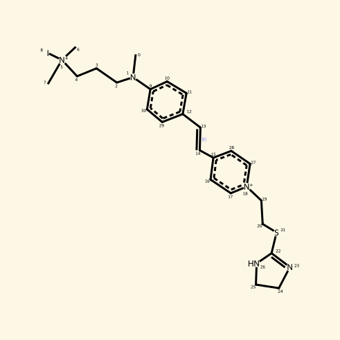 CN(CCC[N+](C)(C)I)c1ccc(/C=C/c2cc[n+](CCSC3=NCCN3)cc2)cc1